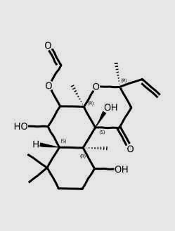 C=C[C@@]1(C)CC(=O)[C@]2(O)[C@@]3(C)C(O)CCC(C)(C)[C@@H]3C(O)C(OC=O)[C@@]2(C)O1